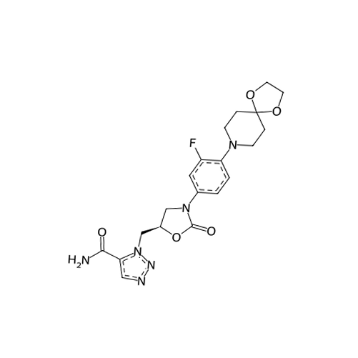 NC(=O)c1cnnn1C[C@H]1CN(c2ccc(N3CCC4(CC3)OCCO4)c(F)c2)C(=O)O1